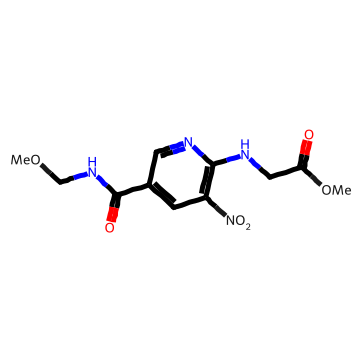 COCNC(=O)c1cnc(NCC(=O)OC)c([N+](=O)[O-])c1